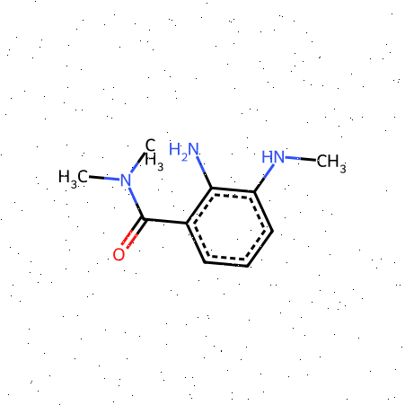 CNc1cccc(C(=O)N(C)C)c1N